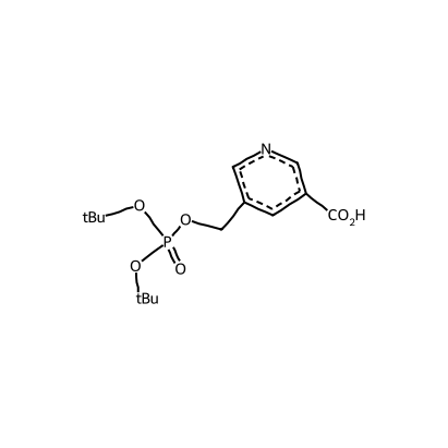 CC(C)(C)OP(=O)(OCc1cncc(C(=O)O)c1)OC(C)(C)C